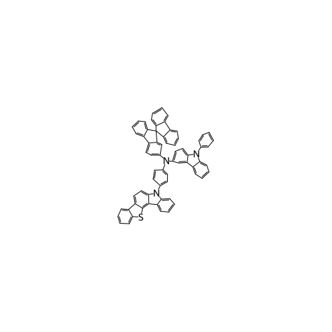 c1ccc(-n2c3ccccc3c3cc(N(c4ccc(-n5c6ccccc6c6c7sc8ccccc8c7ccc65)cc4)c4ccc5c(c4)C4(c6ccccc6-c6ccccc64)c4ccccc4-5)ccc32)cc1